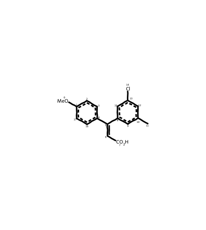 COc1ccc(C(=CC(=O)O)c2cc(C)cc(Cl)c2)cc1